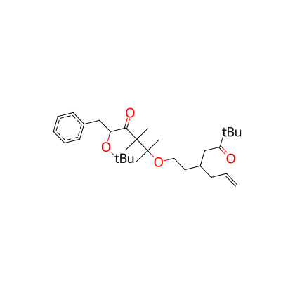 C=CCC(CCOC(C)(C)C(C)(C)C(=O)C(Cc1ccccc1)OC(C)(C)C)CC(=O)C(C)(C)C